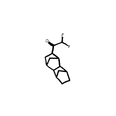 O=C(C(F)F)C1CC2CC1C1C3CCC(C3)C21